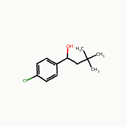 CC(C)(C)CC(O)c1ccc(Cl)cc1